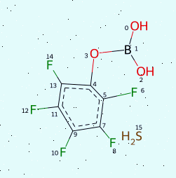 OB(O)Oc1c(F)c(F)c(F)c(F)c1F.S